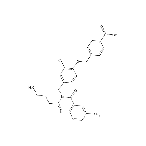 CCCCc1nc2ccc(C)cc2c(=O)n1Cc1ccc(OCc2ccc(C(=O)O)cc2)c(Cl)c1